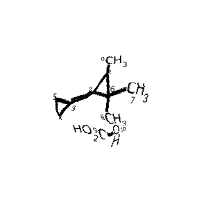 CC1C(=C2CC2)C1(C)C.O=C(O)O